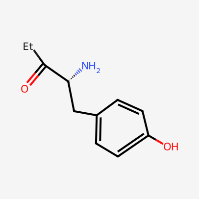 CCC(=O)[C@H](N)Cc1ccc(O)cc1